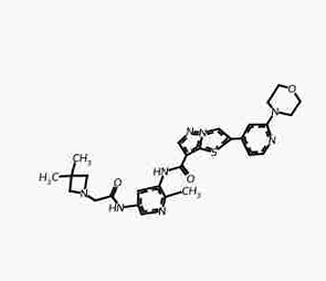 Cc1ncc(NC(=O)CN2CC(C)(C)C2)cc1NC(=O)c1cnn2cc(-c3ccnc(N4CCOCC4)c3)sc12